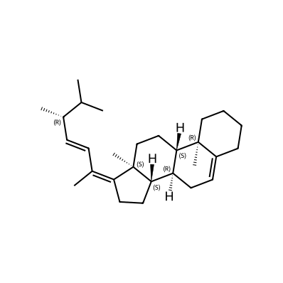 CC(C=C[C@H](C)C(C)C)=C1CC[C@H]2[C@@H]3CC=C4CCCC[C@]4(C)[C@H]3CC[C@]12C